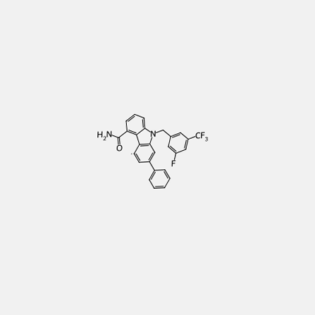 NC(=O)c1cccc2c1c1[c]cc(-c3ccccc3)cc1n2Cc1cc(F)cc(C(F)(F)F)c1